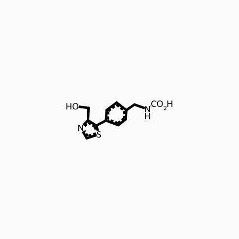 O=C(O)NCc1ccc(-c2scnc2CO)cc1